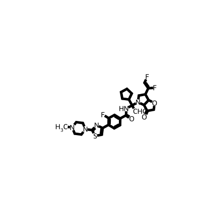 CN1CCN(c2nc(-c3ccc(C(=O)NC(C=O)(C4CCCC4)N4CC(/C(F)=C/F)C5OCC(=O)C54)cc3F)cs2)CC1